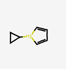 C1=C[SH]([C]2CC2)C=C1